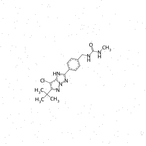 CNC(=O)NCc1ccc(-c2nn3nc(C(C)(C)C)c(Cl)c3[nH]2)cc1